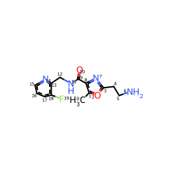 Cc1oc(CCN)nc1C(=O)NCc1ncccc1F